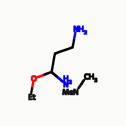 CCOC(N)CCN.CNC